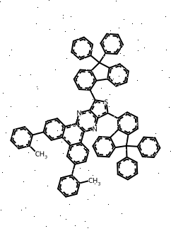 Cc1ccccc1-c1ccc2c(c1)c1cc(-c3ccccc3C)ccc1c1nc3c(-c4cccc5c4-c4ccccc4C5(c4ccccc4)c4ccccc4)sc(-c4cccc5c4-c4ccccc4C5(c4ccccc4)c4ccccc4)c3nc21